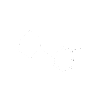 Fc1cccc(C2CCCCO2)c1